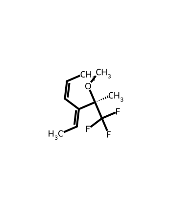 C/C=C\C(=C/C)[C@@](C)(OC)C(F)(F)F